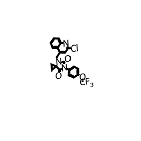 O=C1N(c2ccc(OC(F)(F)F)cc2)C(=O)C2(CC2)N1Cc1cc(Cl)nc2ccccc12